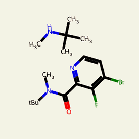 CN(C(=O)c1nccc(Br)c1F)C(C)(C)C.CNC(C)(C)C